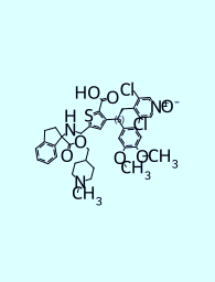 COc1ccc([C@H](Cc2c(Cl)c[n+]([O-])cc2Cl)c2cc(CNC3(C(=O)OCC4CCN(C)CC4)CCc4ccccc43)sc2C(=O)O)cc1OC